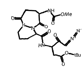 COC(=O)NC1CCC(=O)N2CCCC(C(=O)NC(CC(=O)OC(C)(C)C)C(=O)C=[N+]=[N-])N2C1=O